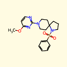 COc1ccnc(N2CCC3(CCCN3S(=O)(=O)c3ccccc3)CC2)n1